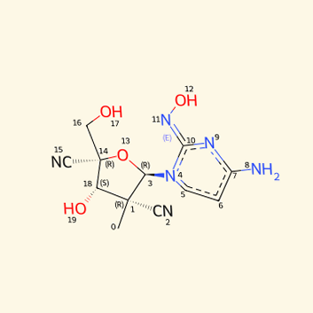 C[C@]1(C#N)[C@H](n2ccc(N)n/c2=N\O)O[C@](C#N)(CO)[C@H]1O